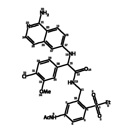 CCS(=O)(=O)c1ccc(NC(C)=O)cc1CNC(=O)C(Nc1ccc2c(N)nccc2c1)c1ccc(Cl)c(OC)c1